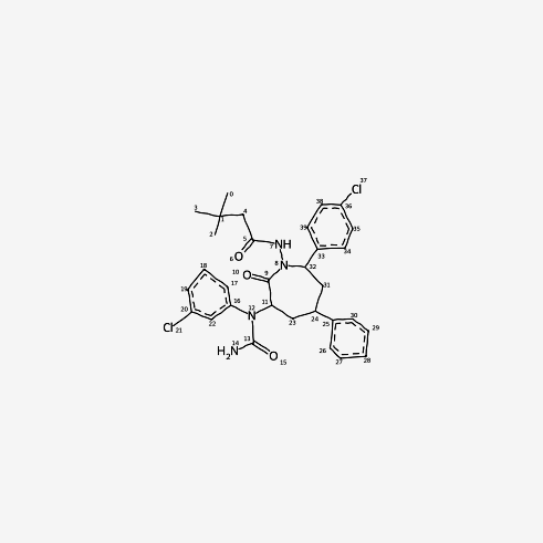 CC(C)(C)CC(=O)NN1C(=O)C(N(C(N)=O)c2cccc(Cl)c2)CC(c2ccccc2)CC1c1ccc(Cl)cc1